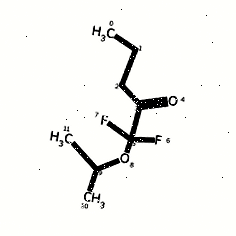 CCCC(=O)C(F)(F)OC(C)C